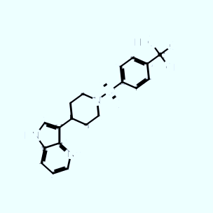 CC(C)(C)c1ccc(S(=O)(=O)N2CCC(c3c[nH]c4cccnc34)CC2)cc1